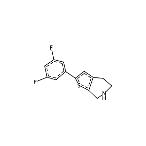 Fc1cc(F)cc(-c2cc3c(s2)CNCC3)c1